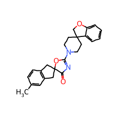 Cc1ccc2c(c1)CC1(C2)OC(N2CCC3(CC2)COc2ccccc23)=NC1=O